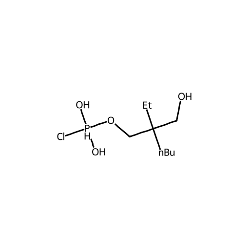 CCCCC(CC)(CO)CO[PH](O)(O)Cl